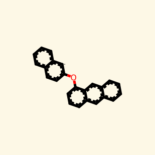 [c]1c(Oc2cccc3cc4ccccc4cc23)ccc2ccccc12